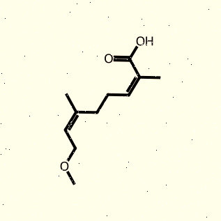 COCC=C(C)CCC=C(C)C(=O)O